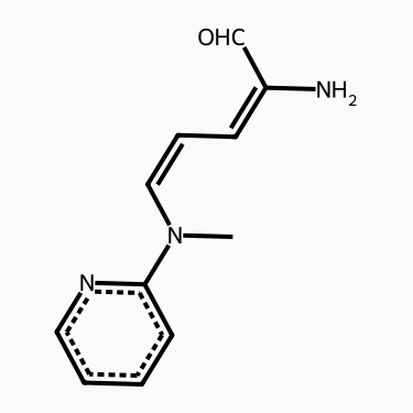 CN(/C=C\C=C(\N)C=O)c1ccccn1